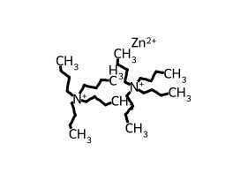 CCCC[N+](CCCC)(CCCC)CCCC.CCCC[N+](CCCC)(CCCC)CCCC.[Zn+2]